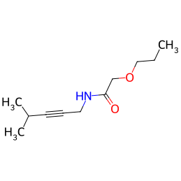 CCCOCC(=O)NCC#CC(C)C